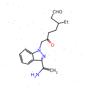 C=C(N)c1nn(CC(=O)CCC(CC)CC=O)c2ccccc12